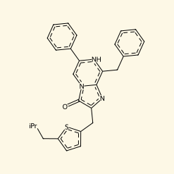 CC(C)Cc1ccc(Cc2nc3c(Cc4ccccc4)[nH]c(-c4ccccc4)cn-3c2=O)s1